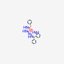 N=C(Cc1ccccc1)OC(=N)NC1N=C(c2ccccc2)c2ccccc2NC1=O